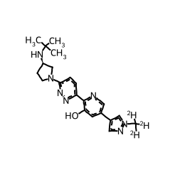 [2H]C([2H])([2H])n1cc(-c2cnc(-c3ccc(N4CC[C@@H](NC(C)(C)C)C4)nn3)c(O)c2)cn1